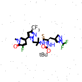 Cn1cc(-c2cc(C(F)(F)F)nn2CC(C)(C)NC(=S)[C@@H](Cc2cnn(C(F)F)c2)NC(=O)OC(C)(C)C)cc(F)c1=O